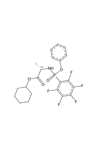 C[C@H](NP(=O)(Oc1ccccc1)c1c(F)c(F)c(F)c(F)c1F)C(=O)OC1CCCCC1